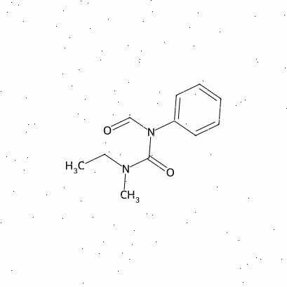 CCN(C)C(=O)N([C]=O)c1ccccc1